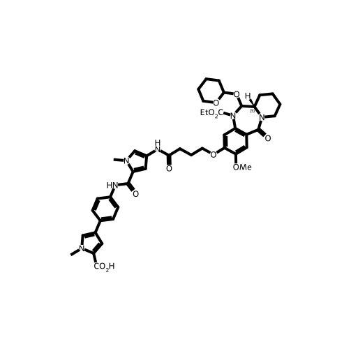 CCOC(=O)N1c2cc(OCCCC(=O)Nc3cc(C(=O)Nc4ccc(-c5cc(C(=O)O)n(C)c5)cc4)n(C)c3)c(OC)cc2C(=O)N2CCCC[C@H]2C1OC1CCCCO1